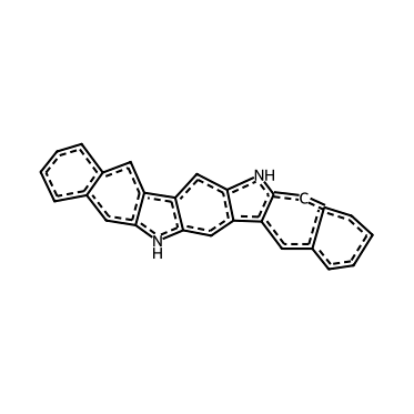 c1ccc2cc3c(cc2c1)[nH]c1cc2c(cc13)[nH]c1cc3ccccc3cc12